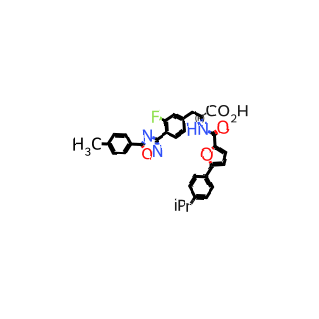 Cc1ccc(-c2nc(-c3ccc(C[C@@H](NC(=O)c4ccc(-c5ccc(C(C)C)cc5)o4)C(=O)O)cc3F)no2)cc1